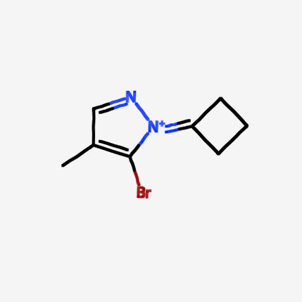 CC1=C(Br)[N+](=C2CCC2)N=C1